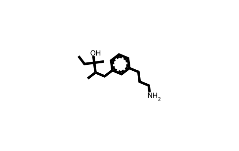 CCC(C)(O)C(C)Cc1cccc(CCCN)c1